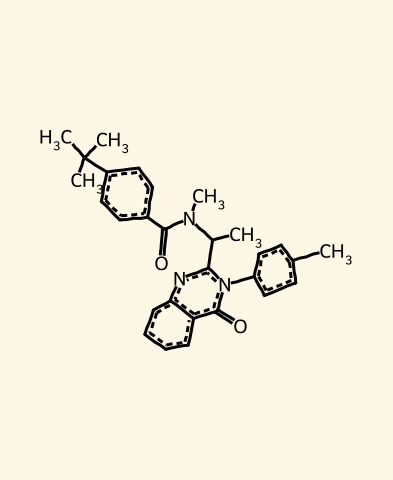 Cc1ccc(-n2c(C(C)N(C)C(=O)c3ccc(C(C)(C)C)cc3)nc3ccccc3c2=O)cc1